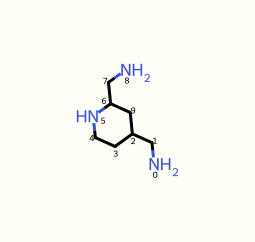 NCC1CCNC(CN)C1